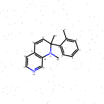 Cc1ccccc1C1(C)C=Cc2ccncc2N1C